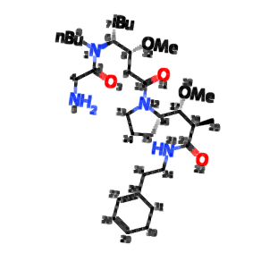 CCCCN(C(=O)CN)[C@@H]([C@@H](C)CC)[C@@H](CC(=O)N1CCC[C@H]1[C@H](OC)[C@@H](C)C(=O)NCCC1=CC=CCC1)OC